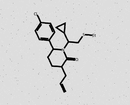 C=CCC1CCC(c2ccc(Cl)cc2)N(C(CSCC)C2CC2)C1=O